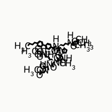 CCCCc1ccc(-c2ccc(C(=O)N[C@@H](CCCCNC(=O)OC(C)(C)C)C(=O)N3CCC[C@H]3C(=O)N[C@@H](C)C(=O)N[C@@H](CCCCNC(=O)OC(C)(C)C)C(=O)N[C@@H]3CN(CC(=O)OC)C3=O)cc2)cc1